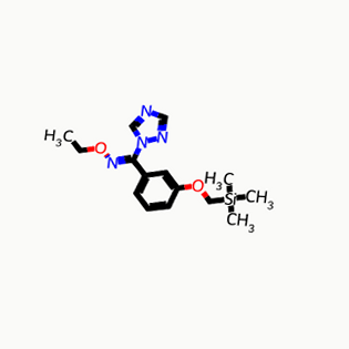 CCON=C(c1cccc(OC[Si](C)(C)C)c1)n1cncn1